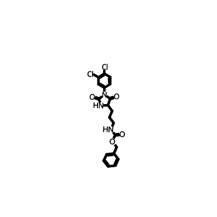 O=C(NCCCC1NC(=O)N(c2ccc(Cl)c(Cl)c2)C1=O)OCc1ccccc1